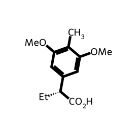 CC[C@@H](C(=O)O)c1cc(OC)c(C)c(OC)c1